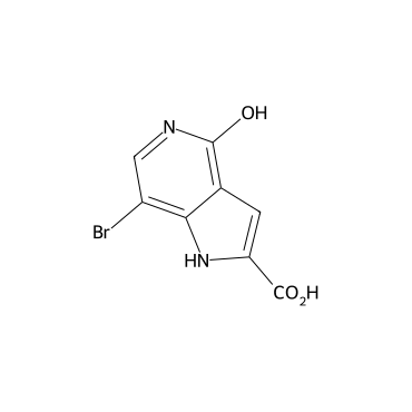 O=C(O)c1cc2c(O)ncc(Br)c2[nH]1